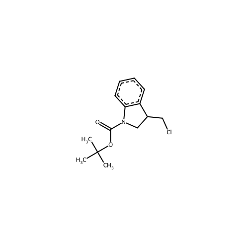 CC(C)(C)OC(=O)N1CC(CCl)c2ccccc21